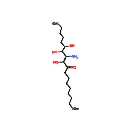 CCCCCCCCCCCCCCCCCC(=O)C(O)C(N)C(O)C(O)CCCCCCCCCCCCCC